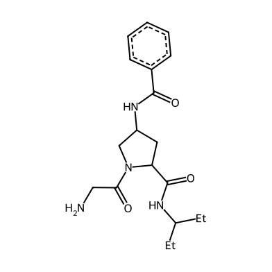 CCC(CC)NC(=O)C1CC(NC(=O)c2ccccc2)CN1C(=O)CN